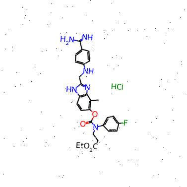 CCOC(=O)CCN(C(=O)Oc1ccc2[nH]c(CNc3ccc(C(=N)N)cc3)nc2c1C)c1ccc(F)cc1.Cl